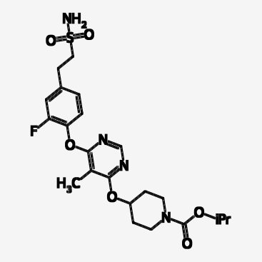 Cc1c(Oc2ccc(CCS(N)(=O)=O)cc2F)ncnc1OC1CCN(C(=O)OC(C)C)CC1